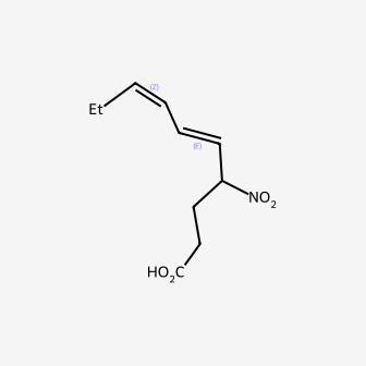 CC/C=C\C=C\C(CCC(=O)O)[N+](=O)[O-]